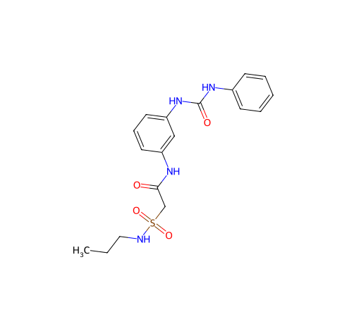 CCCNS(=O)(=O)CC(=O)Nc1cccc(NC(=O)Nc2ccccc2)c1